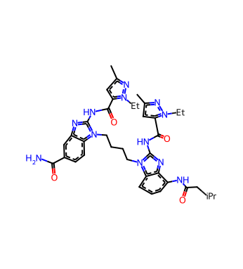 CCn1nc(C)cc1C(=O)Nc1nc2cc(C(N)=O)ccc2n1CCCCn1c(NC(=O)c2cc(C)nn2CC)nc2c(NC(=O)CC(C)C)cccc21